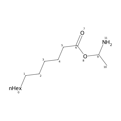 CCCCCCCCCCCC(=O)OC(C)N